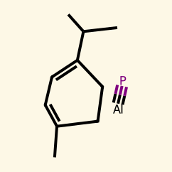 CC1=CC=C(C(C)C)CC1.[Al]#[P]